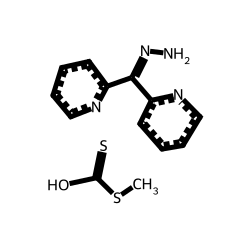 CSC(O)=S.NN=C(c1ccccn1)c1ccccn1